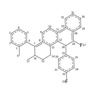 Cc1ccccc1C1=c2ccc3c(c2CCC1C)C(c1ccc(F)cc1)C(F)=c1ccccc1=3